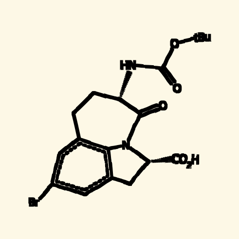 CC(C)(C)OC(=O)N[C@H]1CCc2cc(Br)cc3c2N(C1=O)[C@H](C(=O)O)C3